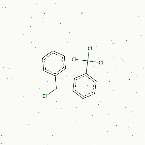 ClC(Cl)(Cl)c1ccccc1.ClCc1ccccc1